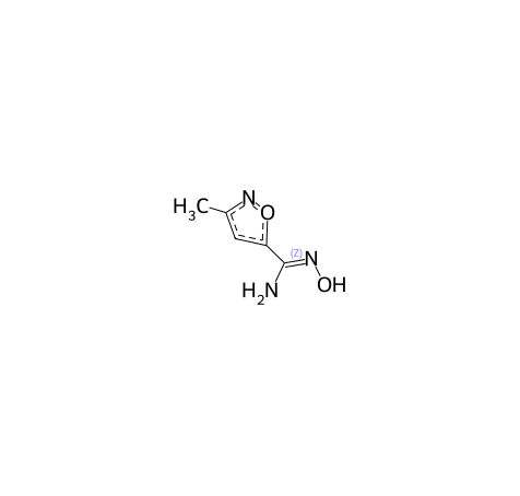 Cc1cc(/C(N)=N/O)on1